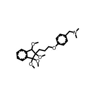 COC1c2ccccc2C(OC)(OC)C1(CCCOc1ccc(CN(C)C)cc1)OC